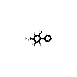 [2H]c1c([2H])c(-c2ccccc2)c([2H])c([2H])c1N